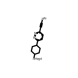 CCCC#Cc1ccc(C2CCC(CCCCCCC)CC2)nn1